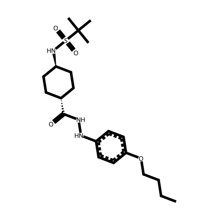 CCCCOc1ccc(NNC(=O)[C@H]2CC[C@H](NS(=O)(=O)C(C)(C)C)CC2)cc1